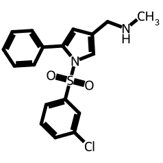 CNCc1cc(-c2ccccc2)n(S(=O)(=O)c2cccc(Cl)c2)c1